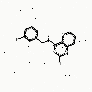 Fc1cccc(CNc2nc(Cl)nc3cccnc23)c1